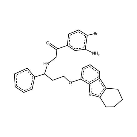 Nc1cc(C(=O)CNC(CCOc2cccc3c4c(sc23)CCCC4)c2ccccc2)ccc1Br